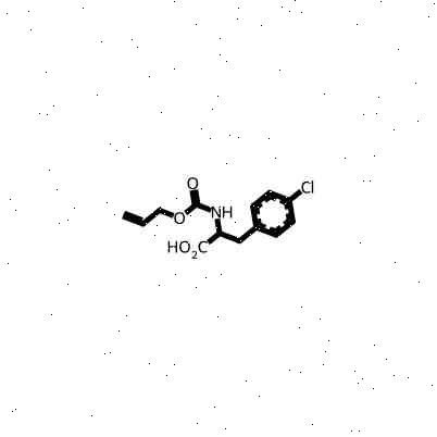 C=CCOC(=O)NC(Cc1ccc(Cl)cc1)C(=O)O